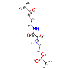 CC(C)C(=O)OCCNC(=O)C(=O)NCCOC(=O)C(C)C